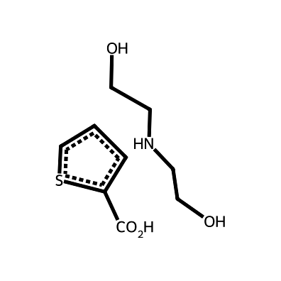 O=C(O)c1cccs1.OCCNCCO